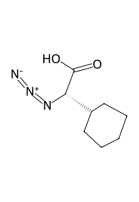 [N-]=[N+]=N[C@H](C(=O)O)C1CCCCC1